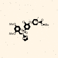 COc1ccc(CN(c2nccs2)S(=O)(=O)c2ccc(O[C@H]3CCN(C(=O)OC(C)(C)C)[C@@H](C)C3)c(Cl)c2)c(OC)c1